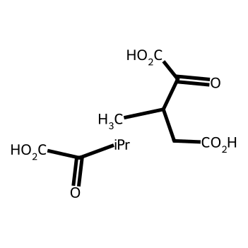 CC(C)C(=O)C(=O)O.CC(CC(=O)O)C(=O)C(=O)O